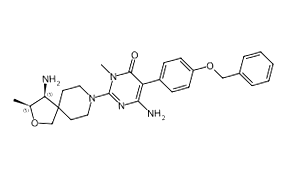 C[C@@H]1OCC2(CCN(c3nc(N)c(-c4ccc(OCc5ccccc5)cc4)c(=O)n3C)CC2)[C@@H]1N